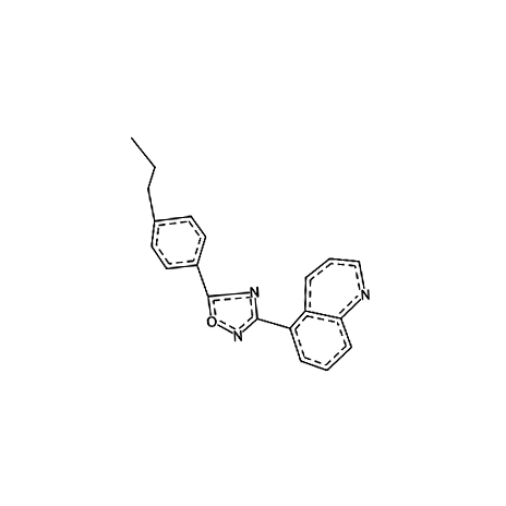 CCCc1ccc(-c2nc(-c3cccc4ncccc34)no2)cc1